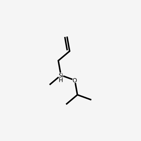 C=CC[SiH](C)OC(C)C